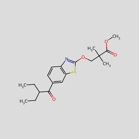 CCC(CC)C(=O)c1ccc2nc(OCC(C)(C)C(=O)OC)sc2c1